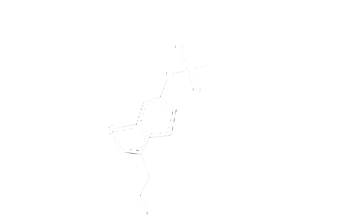 CS(=O)(=O)Oc1ccc2c(CCCl)csc2c1